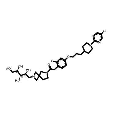 O=C(Cc1ccc(OCCCC2CCN(c3ncc(Cl)cn3)CC2)cc1F)N1CCC2(CN(C[C@H](O)[C@H](O)[C@H](O)CO)C2)C1